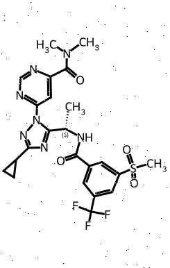 C[C@H](NC(=O)c1cc(C(F)(F)F)cc(S(C)(=O)=O)c1)c1nc(C2CC2)nn1-c1cc(C(=O)N(C)C)ncn1